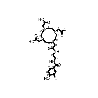 O=C(O)CN1CCN(CC(=O)O)CCN(CC(=O)NCCNC(=O)c2ccc(O)c(O)c2)CCN(CC(=O)O)CC1